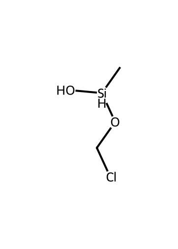 C[SiH](O)OCCl